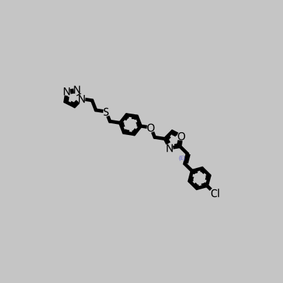 Clc1ccc(/C=C/c2nc(COc3ccc(CSCCn4ccnn4)cc3)co2)cc1